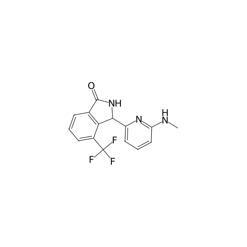 CNc1cccc(C2NC(=O)c3cccc(C(F)(F)F)c32)n1